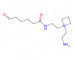 NCC[N+]1(CCNC(=O)CCCCC=O)CCC1